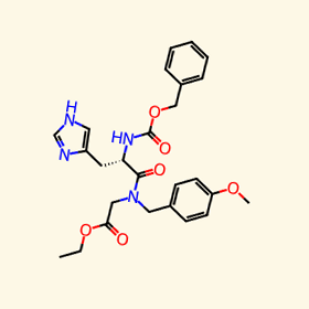 CCOC(=O)CN(Cc1ccc(OC)cc1)C(=O)[C@H](Cc1c[nH]cn1)NC(=O)OCc1ccccc1